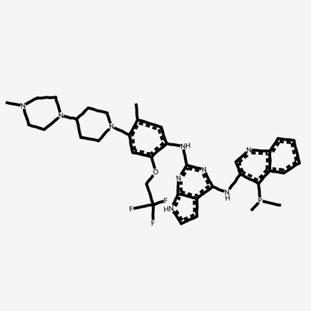 Cc1cc(Nc2nc(Nc3cnc4ccccc4c3P(C)C)c3cc[nH]c3n2)c(OCC(F)(F)F)cc1N1CCC(N2CCN(C)CC2)CC1